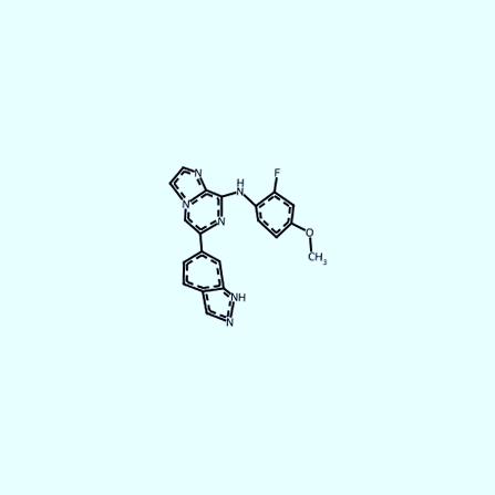 COc1ccc(Nc2nc(-c3ccc4cn[nH]c4c3)cn3ccnc23)c(F)c1